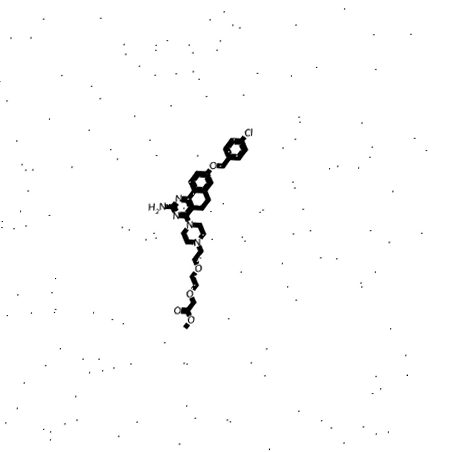 COC(=O)COCCOCCN1CCN(c2nc(N)nc3c2CCc2cc(OCc4ccc(Cl)cc4)ccc2-3)CC1